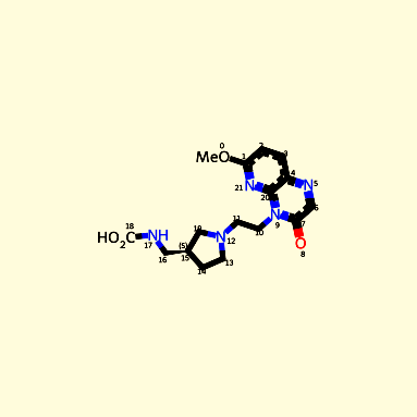 COc1ccc2ncc(=O)n(CCN3CC[C@@H](CNC(=O)O)C3)c2n1